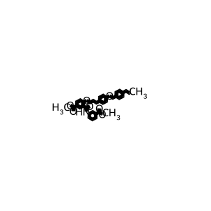 CCCc1ccc(COc2ccc(CCCOc3ccc(C(=O)OC)cc3C(=O)NC3CCCC(C(=O)OC)C3)cc2)cc1